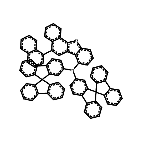 c1ccc2c(c1)-c1ccccc1C21c2ccccc2-c2ccc(N(c3ccc4c(c3)C3(c5ccccc5-c5ccccc53)c3ccccc3-4)c3cccc4oc5c6ccccc6c(-c6cccc7ccccc67)cc5c34)cc21